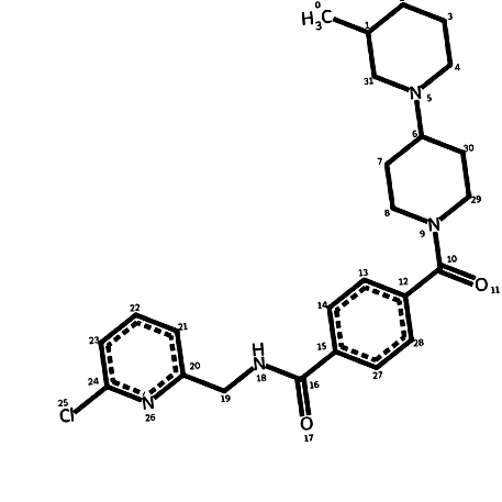 CC1CCCN(C2CCN(C(=O)c3ccc(C(=O)NCc4cccc(Cl)n4)cc3)CC2)C1